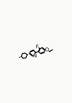 CCOc1ccc(-c2ccc([C@H]3CC[C@H](C)CC3)cn2)c(F)c1